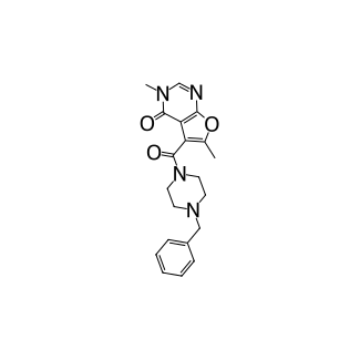 Cc1oc2ncn(C)c(=O)c2c1C(=O)N1CCN(Cc2ccccc2)CC1